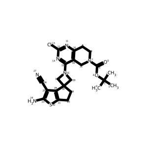 CC(C)(C)OC(=O)N1CCc2nc(Cl)nc(N3CC4(CCc5sc(N)c(C#N)c54)C3)c2C1